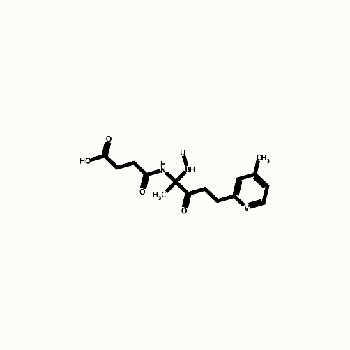 CC1=C[CH]=[V][C](CCC(=O)C(C)([BH][U])NC(=O)CCC(=O)O)=C1